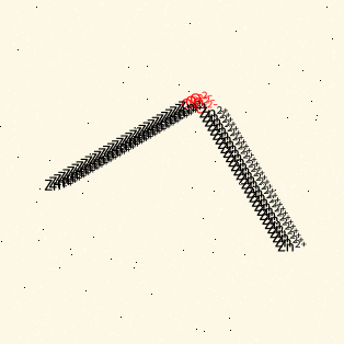 [O-2].[O-2].[O-2].[O-2].[O-2].[Zn+2].[Zn+2].[Zn+2].[Zn+2].[Zn+2].[Zn+2].[Zn+2].[Zn+2].[Zn+2].[Zn+2].[Zn+2].[Zn+2].[Zn+2].[Zn+2].[Zn+2].[Zn+2].[Zn+2].[Zn+2].[Zn+2].[Zn+2].[Zn+2].[Zn+2].[Zn+2].[Zn+2].[Zn+2].[Zn+2].[Zn+2].[Zn+2].[Zn+2].[Zn+2].[Zn+2].[Zn+2].[Zn+2].[Zn+2].[Zn+2].[Zn+2].[Zn+2].[Zn+2].[Zn+2].[Zn+2].[Zn+2].[Zn+2].[Zn+2].[Zn+2].[Zn+2].[Zn+2].[Zn+2].[Zn+2].[Zn+2].[Zn+2].[Zn+2].[Zn+2].[Zn+2].[Zn+2].[Zn+2].[Zn+2].[Zn+2].[Zn+2].[Zn+2].[Zn+2].[Zn+2].[Zn+2]